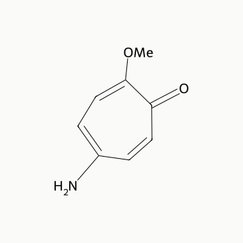 COc1ccc(N)ccc1=O